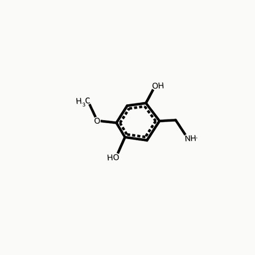 COc1cc(O)c(C[NH])cc1O